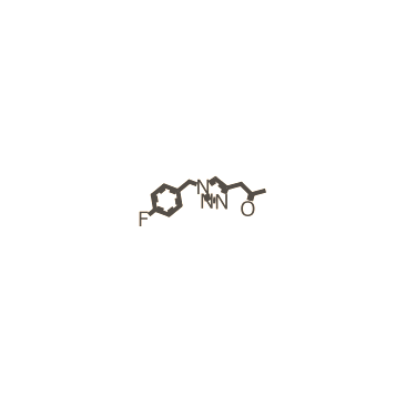 CC(=O)Cc1cn(Cc2ccc(F)cc2)nn1